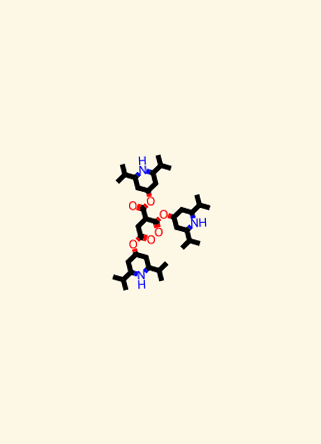 CC(C)C1CC(OC(=O)CC(C(=O)OC2CC(C(C)C)NC(C(C)C)C2)C(=O)OC2CC(C(C)C)NC(C(C)C)C2)CC(C(C)C)N1